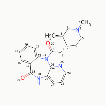 C[C@H]1CN(C)CC[C@@H]1CC(=O)N1c2ccccc2C(=O)Nc2cccnc21